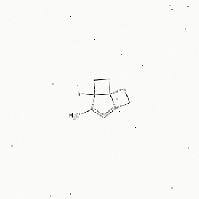 CC1=C=C2CCC23CC[C]13[Ir]